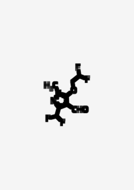 Cn1nc(C(F)F)c(C=O)c1OCC(F)F